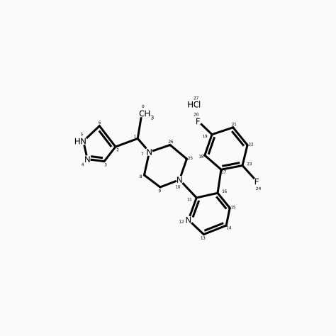 CC(c1cn[nH]c1)N1CCN(c2ncccc2-c2cc(F)ccc2F)CC1.Cl